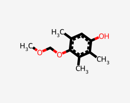 COCOc1c(C)cc(O)c(C)c1C